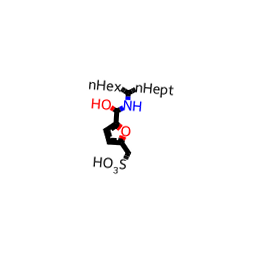 CCCCCCCC(CCCCCC)NC(O)c1ccc(CS(=O)(=O)O)o1